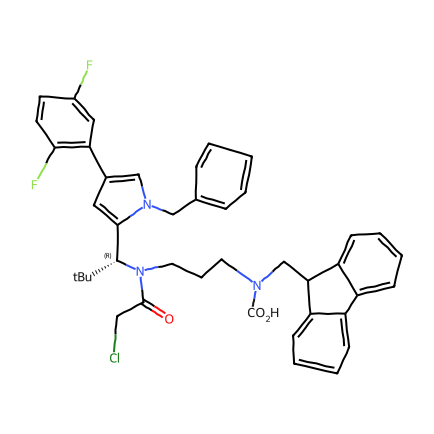 CC(C)(C)[C@H](c1cc(-c2cc(F)ccc2F)cn1Cc1ccccc1)N(CCCN(CC1c2ccccc2-c2ccccc21)C(=O)O)C(=O)CCl